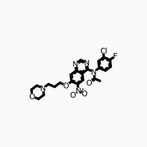 CC(=O)N(c1ccc(F)c(Cl)c1)c1ncnc2cc(OCCCN3CCOCC3)c([N+](=O)[O-])cc12